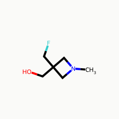 CN1CC(CO)(CF)C1